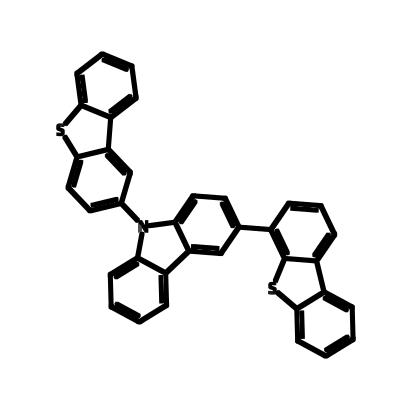 c1ccc2c(c1)sc1ccc(-n3c4ccccc4c4cc(-c5cccc6c5sc5ccccc56)ccc43)cc12